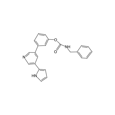 O=C(NCc1ccccc1)Oc1cccc(-c2cncc(-c3ccc[nH]3)c2)c1